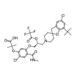 CNC(=O)c1cc(Cl)c(OC(C)(C)C(=O)O)cc1OC[C@H](CN1CCC2(CC1)Cc1cc(Cl)cc(C(C)(C)C)c1O2)OC(=O)C(F)(F)F